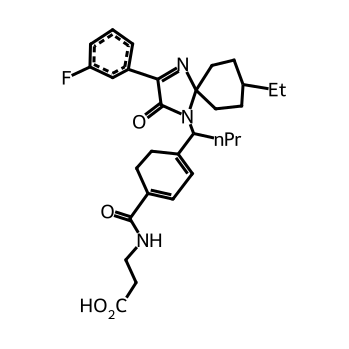 CCCC(C1=CC=C(C(=O)NCCC(=O)O)CC1)N1C(=O)C(c2cccc(F)c2)=NC12CCC(CC)CC2